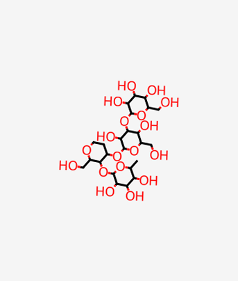 CC1OC(OC2C(CO)OCCC2OC2OC(CO)C(O)C(OC3OC(CO)C(O)C(O)C3O)C2O)C(O)C(O)C1O